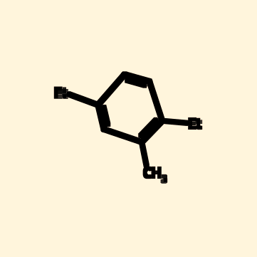 CCc1ccc(CC)c(C)c1